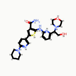 NC(=O)c1cc(-c2ccc(N3CCCCC3)nc2)sc1Nc1cccc(C(CO)N2CCOCC2)n1